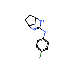 Clc1ccc(NC2=NC3CCC(C3)N2)cc1